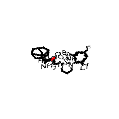 NC(=O)C12CC3CC(C1)C(NC(=O)CN1CCCN(c4c(Cl)cc(F)cc4Br)S1(O)O)C(C3)C2